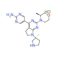 C[C@H]1COCCN1c1nc(-c2cnc(N)nc2)c2c(n1)N([C@@]1(C)CCNC1)CC2.Cl